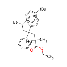 CCC(CC(CC(C)(C)C(=O)OCC(F)(F)F)(c1ccccc1)c1ccccc1)c1ccc(C(C)(C)C)cc1